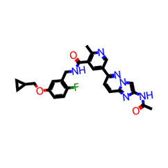 CC(=O)Nc1cn2nc(-c3cnc(C)c(C(=O)NCc4cc(OCC5CC5)ccc4F)c3)ccc2n1